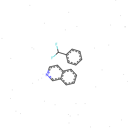 FC(F)c1ccccc1.c1ccc2cnccc2c1